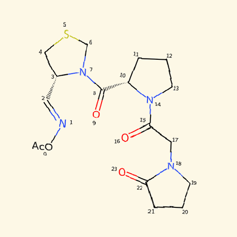 CC(=O)ON=C[C@@H]1CSCN1C(=O)[C@@H]1CCCN1C(=O)CN1CCCC1=O